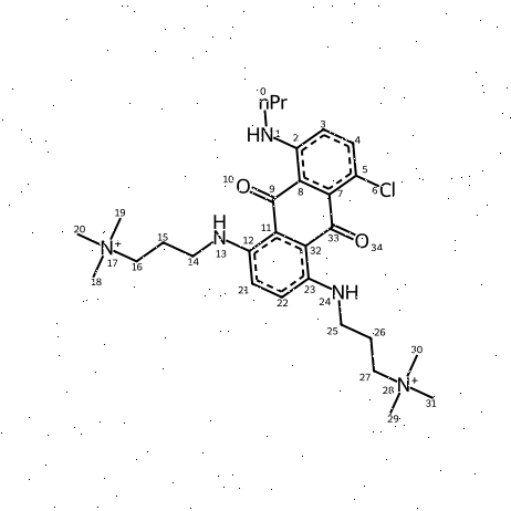 [CH2]CCNc1ccc(Cl)c2c1C(=O)c1c(NCCC[N+](C)(C)C)ccc(NCCC[N+](C)(C)C)c1C2=O